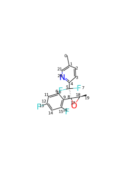 Cc1ccc(C(F)(F)[C@@]2(c3ccc(F)cc3F)O[C@@H]2C)nc1